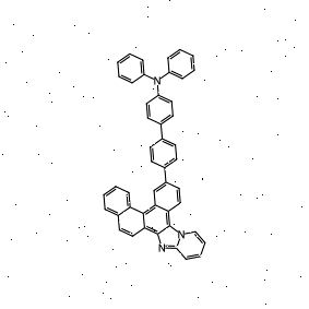 c1ccc(N(c2ccccc2)c2ccc(-c3ccc(-c4ccc5c(c4)c4c6ccccc6ccc4c4nc6ccccn6c54)cc3)cc2)cc1